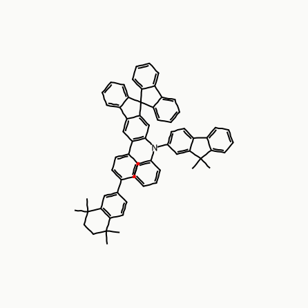 CC1(C)CCC(C)(C)c2cc(-c3ccc(-c4cc5c(cc4N(c4ccccc4)c4ccc6c(c4)C(C)(C)c4ccccc4-6)C4(c6ccccc6-c6ccccc64)c4ccccc4-5)cc3)ccc21